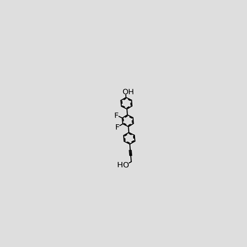 OCC#Cc1ccc(-c2ccc(-c3ccc(O)cc3)c(F)c2F)cc1